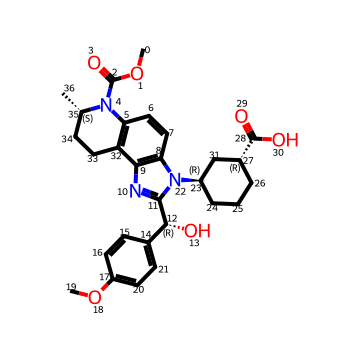 COC(=O)N1c2ccc3c(nc([C@H](O)c4ccc(OC)cc4)n3[C@@H]3CCC[C@@H](C(=O)O)C3)c2CC[C@@H]1C